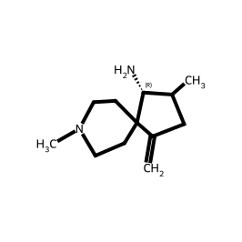 C=C1CC(C)[C@@H](N)C12CCN(C)CC2